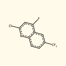 Fc1cc(Cl)nc2ccc(C(F)(F)F)cc12